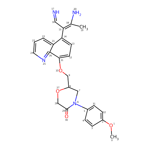 COc1ccc(N2CC(COc3ccc(/C(C=N)=C(\C)N)c4cccnc34)OCC2=O)cc1